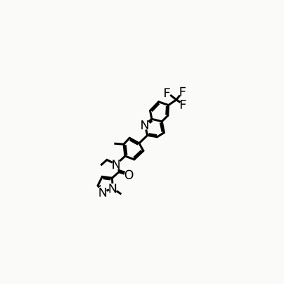 CCN(C(=O)c1ccnn1C)c1ccc(-c2ccc3cc(C(F)(F)F)ccc3n2)cc1C